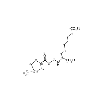 CCOC(=O)CCCCCCC(NCCC(=O)[C@H]1CC[C@H](C)CC1)C(=O)OCC